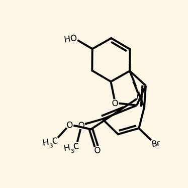 COC(=O)N1CCC23C=CC(O)CC2Oc2c(OC)cc(Br)c(c23)C1